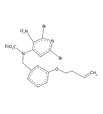 C=CCCOc1cccc(CN(C(=O)OCC)c2cc(Br)nc(Br)c2[N+](=O)[O-])c1